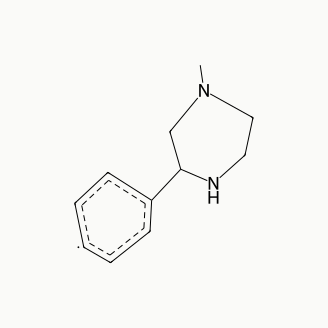 CN1CCNC(c2cc[c]cc2)C1